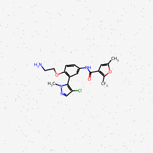 Cc1cc(C(=O)Nc2ccc(OCCN)c(-c3c(Cl)cnn3C)c2)c(C(F)(F)F)o1